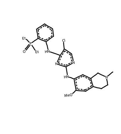 CCP(=O)(CC)c1ccccc1Nc1nc(Nc2cc3c(cc2OC)CCN(C)C3)ncc1Cl